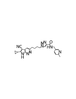 Cc1ccc(CNC(=O)c2cn(CCCCc3cc4c(C#N)c(C5CC5)[nH]c4nn3)nn2)cn1